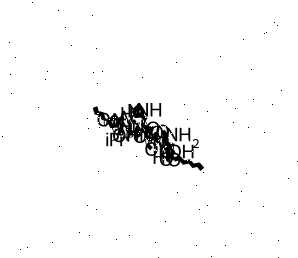 C=CCCCCOP(=O)(O)O[C@H](C)[C@H](NC(=O)[C@H](CO)NC(=O)[C@H](Cc1cnc[nH]1)NC(=O)[C@H](CC(C)C)NC(=O)[C@@H]1C[C@@H](OCC=C)CN1C(C)=O)C(N)=O